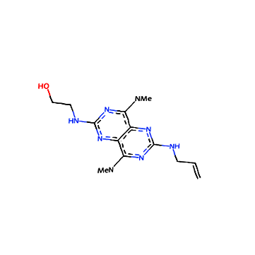 C=CCNc1nc(NC)c2nc(NCCO)nc(NC)c2n1